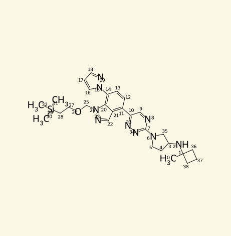 CC1(NC2CCN(c3ncc(-c4ccc(-n5cccn5)c5c4cnn5COCC[Si](C)(C)C)nn3)C2)CCC1